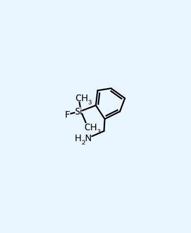 C[Si](C)(F)c1ccccc1CN